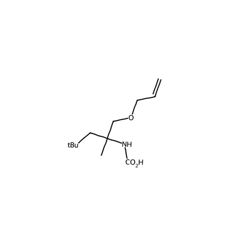 C=CCOCC(C)(CC(C)(C)C)NC(=O)O